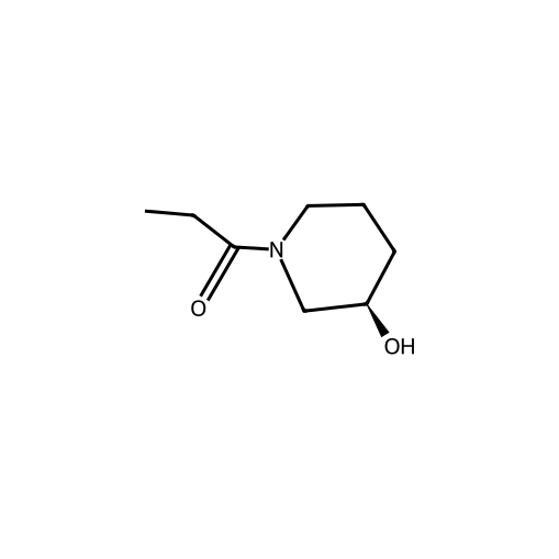 CCC(=O)N1CCC[C@@H](O)C1